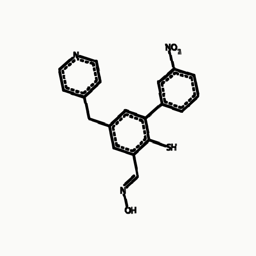 O=[N+]([O-])c1cccc(-c2cc(Cc3ccncc3)cc(/C=N/O)c2S)c1